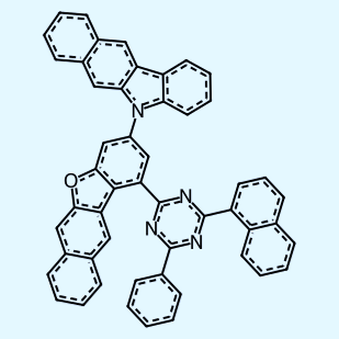 c1ccc(-c2nc(-c3cccc4ccccc34)nc(-c3cc(-n4c5ccccc5c5cc6ccccc6cc54)cc4oc5cc6ccccc6cc5c34)n2)cc1